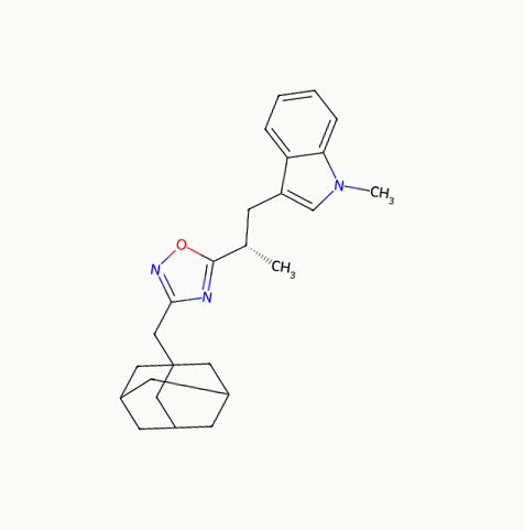 C[C@@H](Cc1cn(C)c2ccccc12)c1nc(CC23CC4CC(CC(C4)C2)C3)no1